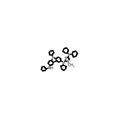 CN1C=C(N(c2ccccc2)c2ccccc2)SC1N(c1ccccc1)c1ccc2c(c1)c1cc(Nc3ccccc3)ccc1n2-c1ccccc1